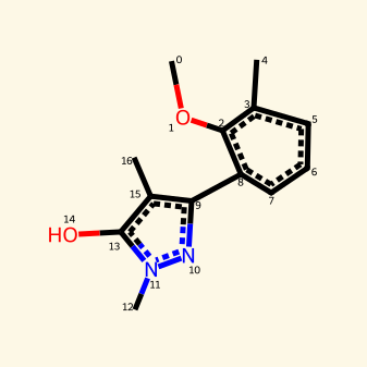 COc1c(C)cccc1-c1nn(C)c(O)c1C